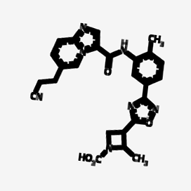 Cc1ccc(-c2noc(C3CN(C(=O)O)C3C)n2)cc1NC(=O)c1cnc2ccc(CCC#N)cn12